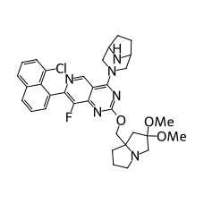 COC1(OC)CN2CCCC2(COc2nc(N3CC4CCC(C3)N4)c3cnc(-c4cccc5cccc(Cl)c45)c(F)c3n2)C1